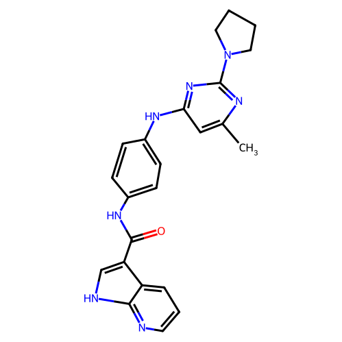 Cc1cc(Nc2ccc(NC(=O)c3c[nH]c4ncccc34)cc2)nc(N2CCCC2)n1